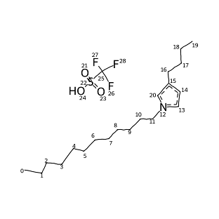 CCCCCCCCCCCCn1ccc(CCCC)c1.O=S(=O)(O)C(F)(F)F